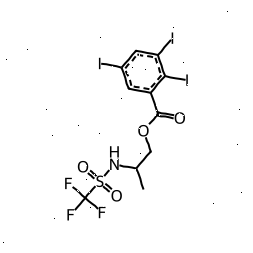 CC(COC(=O)c1cc(I)cc(I)c1I)NS(=O)(=O)C(F)(F)F